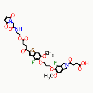 COc1cc2c(c(F)c1OCCCOc1c(OC)cc3sc(C(=O)CCC(=O)OCCNC(=O)CN4C(=O)C=CC4=O)cc3c1F)CN(C(=O)CCC(=O)O)C2